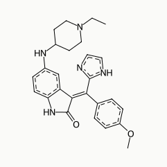 CCN1CCC(Nc2ccc3c(c2)C(=C(c2ccc(OC)cc2)c2ncc[nH]2)C(=O)N3)CC1